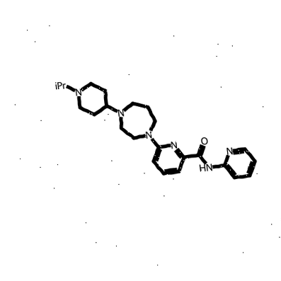 CC(C)N1CCC(N2CCCN(c3cccc(C(=O)Nc4ccccn4)n3)CC2)CC1